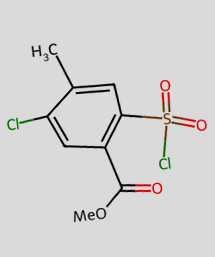 COC(=O)c1cc(Cl)c(C)cc1S(=O)(=O)Cl